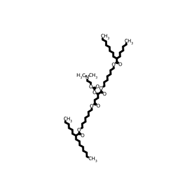 CCCCCCCCC(CCCCCC)C(=O)OCCCCCCCOC(=O)CCC(OC(=O)OCCN(C)C)C(=O)OCCCCCCCOC(=O)C(CCCCCC)CCCCCCCC